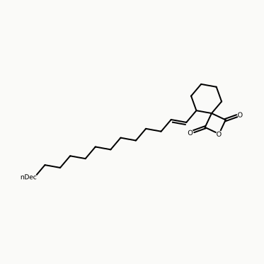 CCCCCCCCCCCCCCCCCCCCC=CC1CCCCC12C(=O)OC2=O